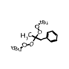 CC(C)(C)OOC(C)(Cc1ccccc1)OOC(C)(C)C